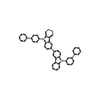 C1=c2c(n(-c3ccc(-c4ccccc4)cc3)c3ccc(-c4ccc5c(c4)c4ccccc4n5-c4cccc(-c5ccccc5)c4)cc23)=CCC1